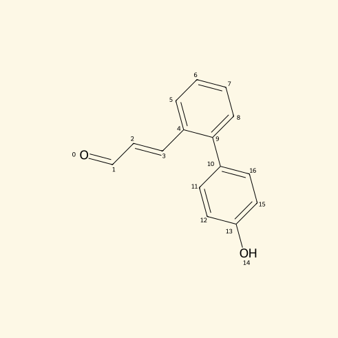 O=CC=Cc1ccccc1-c1ccc(O)cc1